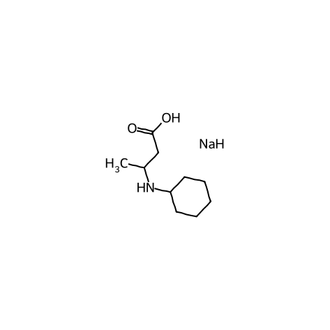 CC(CC(=O)O)NC1CCCCC1.[NaH]